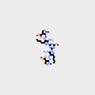 CCCCc1nn(-c2nc(OC)nc(-n3nc(CCCC)c(/N=N/c4c(C(=O)OC)cnn4C)c3N)n2)c(N)c1/N=N/c1c(C(=O)OC)cnn1C